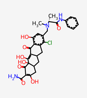 C[C@H](C(=O)Nc1ccccc1)N(C)Cc1cc(O)c2c(c1Cl)CC1CC3CC(O)=C(C(N)=O)C(=O)C3(O)C(O)=C1C2=O